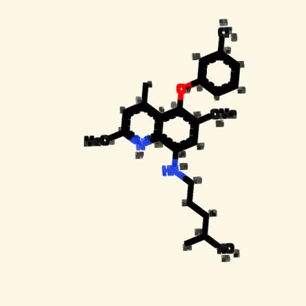 COc1cc(C)c2c(Oc3cccc(C(F)(F)F)c3)c(OC)cc(NCCCC(C)[N+](=O)[O-])c2n1